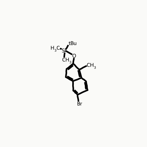 Cc1c(O[Si](C)(C)C(C)(C)C)ccc2cc(Br)ccc12